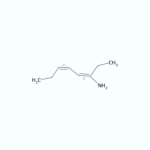 CC/C=C\C=C(\N)CC